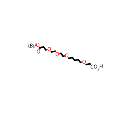 CC(C)(C)OC(=O)CCOCCOCCOCCCCCOCCC(=O)O